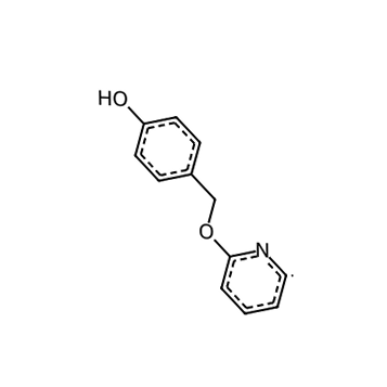 Oc1ccc(COc2ccc[c]n2)cc1